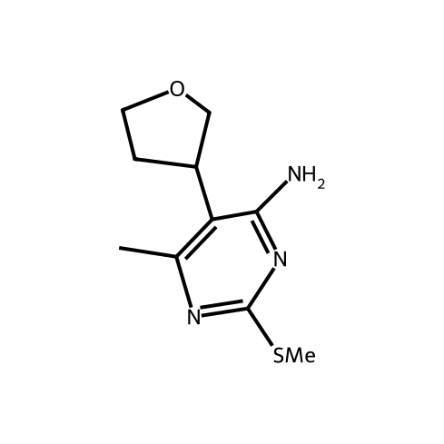 CSc1nc(C)c(C2CCOC2)c(N)n1